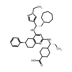 CC[C@@H](Nc1nc2c(c(N[C@@H](CN3CCCCCC3)c3cnn(CC)c3)n1)C[C@H](c1ccccc1)CC2)C1CCC(C(=O)O)CC1